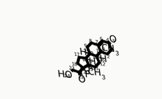 C[C@]12CCC(=O)C=C1CC[C@@H]1[C@@H]2CC[C@@]2(C)[C@H]1CC[C@]2(F)C(=O)CO